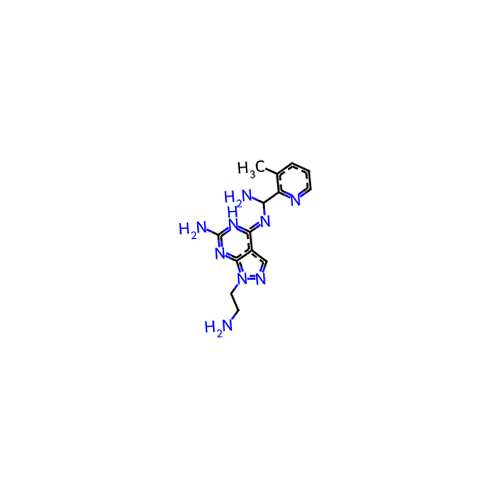 Cc1cccnc1C(N)/N=c1\[nH]c(N)nc2c1cnn2CCN